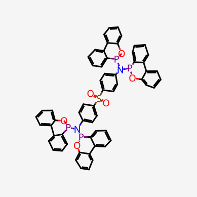 O=S(=O)(c1ccc(N(P2Oc3ccccc3-c3ccccc32)P2Oc3ccccc3-c3ccccc32)cc1)c1ccc(N(P2Oc3ccccc3-c3ccccc32)P2Oc3ccccc3-c3ccccc32)cc1